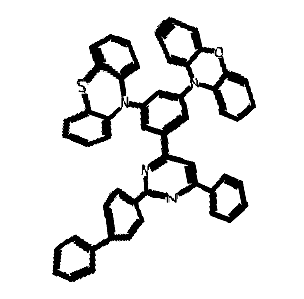 c1ccc(-c2ccc(-c3nc(-c4ccccc4)cc(-c4cc(N5c6ccccc6Oc6ccccc65)cc(N5c6ccccc6Sc6ccccc65)c4)n3)cc2)cc1